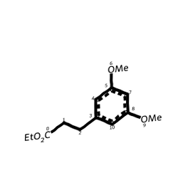 CCOC(=O)CCc1cc(OC)cc(OC)c1